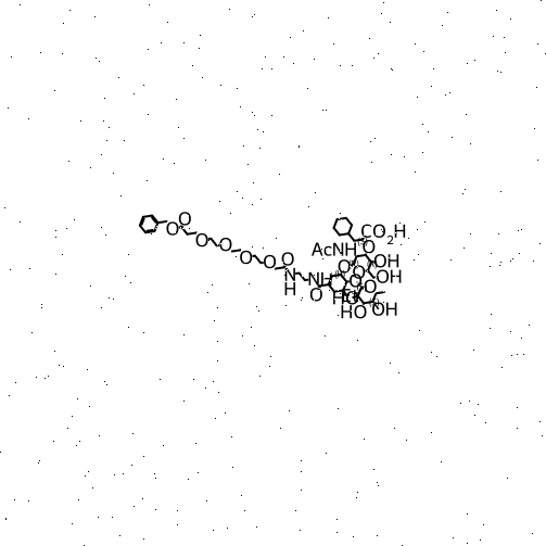 CCC1CC(C(=O)NCCNC(=O)COCCOCCOCCOCCC(=O)OCc2ccccc2)C[C@@H](O[C@@H]2OC(CO)[C@H](O)C(O[C@@H](CC3CCCCC3)C(=O)O)C2NC(C)=O)C1O[C@@H]1OC(C)[C@@H](O)C(O)C1O